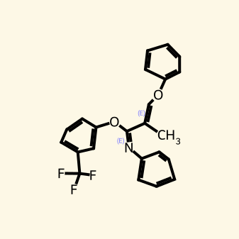 CC(=C\Oc1ccccc1)/C(=N\c1ccccc1)Oc1cccc(C(F)(F)F)c1